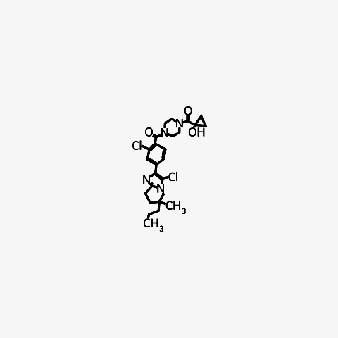 CCCC1(C)CCc2nc(-c3ccc(C(=O)N4CCN(C(=O)C5(O)CC5)CC4)c(Cl)c3)c(Cl)n2C1